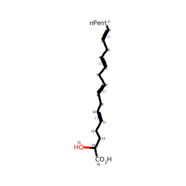 CCCCC/C=C/C/C=C/C/C=C/C/C=C/CCC(O)C(=O)O